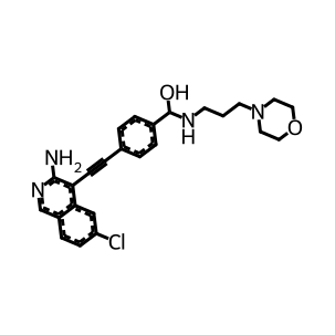 Nc1ncc2ccc(Cl)cc2c1C#Cc1ccc(C(O)NCCCN2CCOCC2)cc1